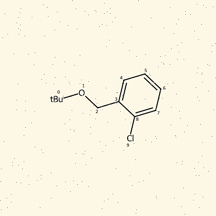 CC(C)(C)OCc1ccccc1Cl